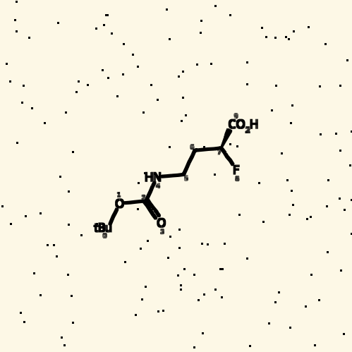 CC(C)(C)OC(=O)NCC[C@H](F)C(=O)O